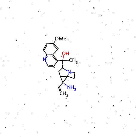 C=C[C@]1(N)C2CC(C(C)(O)c3ccnc4ccc(OC)cc34)N3CCC231